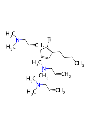 C=CCN(C)C.C=CCN(C)C.C=CCN(C)C.CCCCC1=[C]([Ti])CC=C1